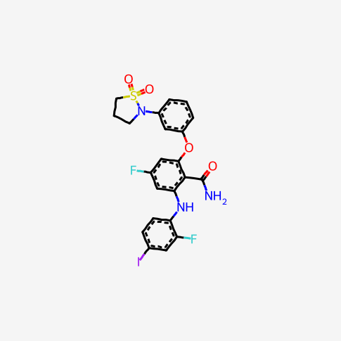 NC(=O)c1c(Nc2ccc(I)cc2F)cc(F)cc1Oc1cccc(N2CCCS2(=O)=O)c1